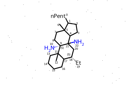 CCCCCC1CCC2C1(C)CC[C@]1(N)C3(C)CCCCC3[C@@H](CC)CC21N